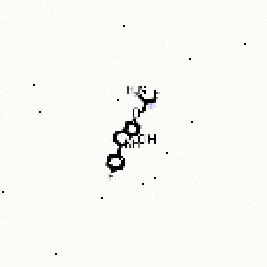 Cl.NC/C(=C\F)COc1ccc2c(c1)CCC(c1ccc(F)cc1)N2